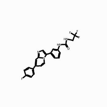 O=C(NCC(F)(F)F)Nc1cccc(-c2cnc3cc(-c4ccc(F)cc4)ccn23)c1